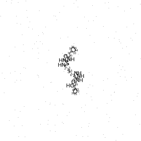 N=C(CCSCCC(=N)SC(=N)NC(=O)CC(O)c1ccccc1)SC(=N)NC(=O)CCc1ccccc1